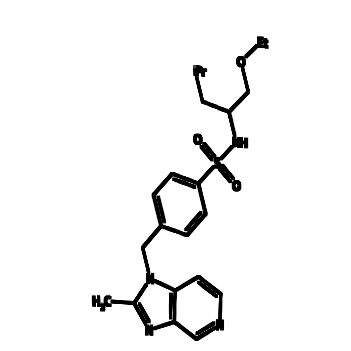 CCOCC(CC(C)C)NS(=O)(=O)c1ccc(Cn2c(C)nc3cnccc32)cc1